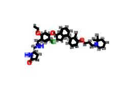 CCOc1cc(O[C@H]2CCc3c(-c4cccc(OCCCN5CCCCC5(C)C)c4C)cccc32)c(Cl)cc1CNC[C@@H]1CCC(=O)N1